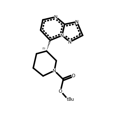 CC(C)(C)OC(=O)N1CCC[C@H](c2ccnc3ncnn23)C1